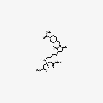 CNC(=O)CP(=O)(CC(=O)NC)N(C)CCCSC1CC(=O)N(CC2CCC(C(=O)NC)CC2)C1=O